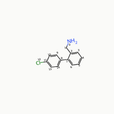 NCc1ccccc1-c1ccc(Cl)cc1